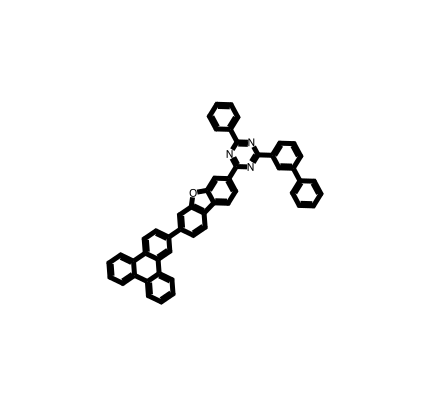 c1ccc(-c2cccc(-c3nc(-c4ccccc4)nc(-c4ccc5c(c4)oc4cc(-c6ccc7c8ccccc8c8ccccc8c7c6)ccc45)n3)c2)cc1